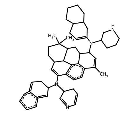 CC1=CC(N(C2=CCC3CCCCC3C2)C2CCCNC2)C2CC3C4c5c(ccc1c52)C(N(C1C=NC=CC1)C1C=c2ccccc2=CC1)=CC4CCC3(C)C